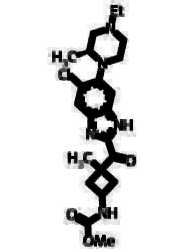 CCN1CCN(c2cc3[nH]c(C(=O)C4(C)CC(NC(=O)OC)C4)nc3cc2Cl)[C@@H](C)C1